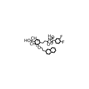 CC(C)(O)c1ccc(CCC(=O)NS(=O)(=O)c2ccc(F)c(F)c2)c(OCCc2ccc3ccccc3c2)c1